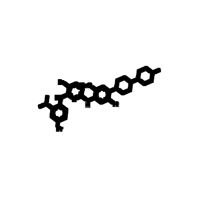 CCc1cc(Nc2ncc(Br)c(Nc3ccc(C(C)C)cc3P(C)C)n2)c(OC)cc1N1CCC(N2CCN(C)CC2)CC1